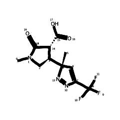 CN1C[C@H]([C@]2(C)C=C(C(F)(F)F)N=N2)[C@@H](C(=O)O)C1=O